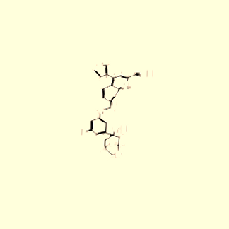 C#Cc1cc(-c2ccoc2)c2ccc(COc3cc(F)cc(C4(O)CC5COC(C4)O5)c3)cc2n1